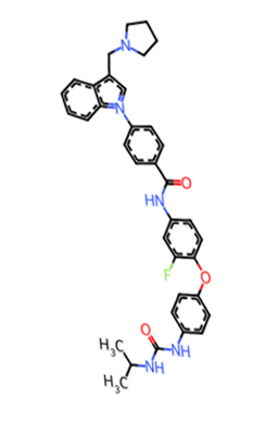 CC(C)NC(=O)Nc1ccc(Oc2ccc(NC(=O)c3ccc(-n4cc(CN5CCCC5)c5ccccc54)cc3)cc2F)cc1